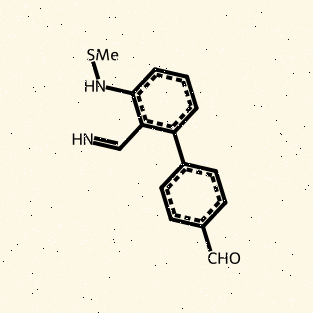 CSNc1cccc(-c2ccc(C=O)cc2)c1C=N